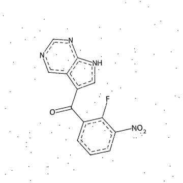 O=C(c1cccc([N+](=O)[O-])c1F)c1c[nH]c2ncncc12